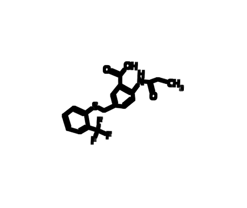 CCC(=O)Nc1ccc(CSc2ccccc2C(F)(F)F)cc1C(=O)O